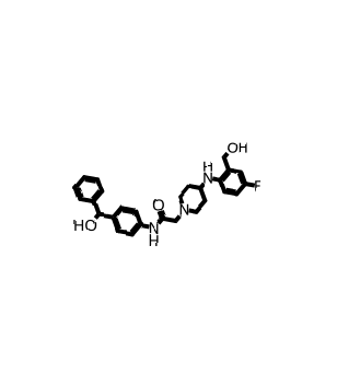 O=C(CN1CCC(Nc2ccc(F)cc2CO)CC1)Nc1ccc(C(O)c2ccccc2)cc1